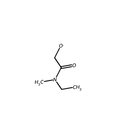 CCN(C)C(=O)C[O]